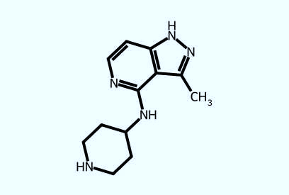 Cc1n[nH]c2ccnc(NC3CCNCC3)c12